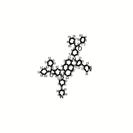 c1ccc(-c2oc3cc(N(c4ccc(-c5ccncc5)cc4)c4ccc5ccc6c(N(c7ccc(-c8ccncc8)cc7)c7ccc8c(-c9ccccc9)c(-c9ccccc9)oc8c7)ccc7ccc4c5c76)ccc3c2-c2ccccc2)cc1